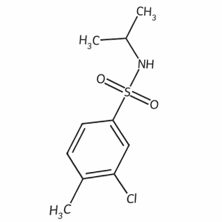 Cc1ccc(S(=O)(=O)NC(C)C)cc1Cl